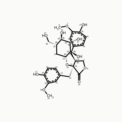 COc1cc(C[C@H]2COC(=O)[C@@]2(Cc2ccc(O)c(OC)c2)O[C@@H]2C[C@H](CO)[C@@H](O)[C@H](O)[C@H]2O)ccc1O